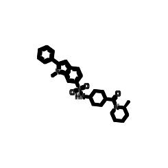 C[C@H]1CCCCN1C(=O)C1CCC(NS(=O)(=O)c2ccc3cc(-c4ccccc4)n(C)c3c2)CC1